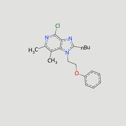 CCCCc1nc2c(Cl)nc(C)c(C)c2n1CCOc1ccccc1